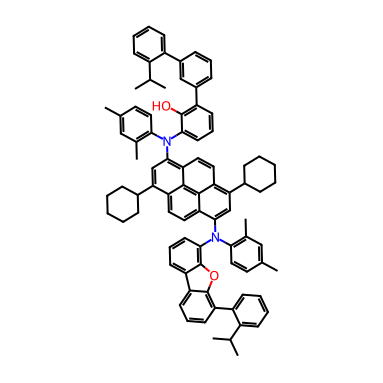 Cc1ccc(N(c2cccc(-c3cccc(-c4ccccc4C(C)C)c3)c2O)c2cc(C3CCCCC3)c3ccc4c(N(c5ccc(C)cc5C)c5cccc6c5oc5c(-c7ccccc7C(C)C)cccc56)cc(C5CCCCC5)c5ccc2c3c54)c(C)c1